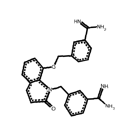 N=C(N)c1cccc(COc2cccc3ccc(=O)n(Cc4cccc(C(=N)N)c4)c23)c1